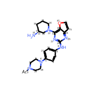 CC(=O)N1CCN(c2ccc(Nc3nc(N4CCC[C@H](N)C4)c4occc4n3)cc2)CC1